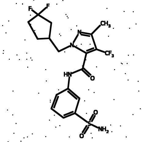 Cc1nn(CC2CCC(F)(F)C2)c(C(=O)Nc2cccc(S(N)(=O)=O)c2)c1C(F)(F)F